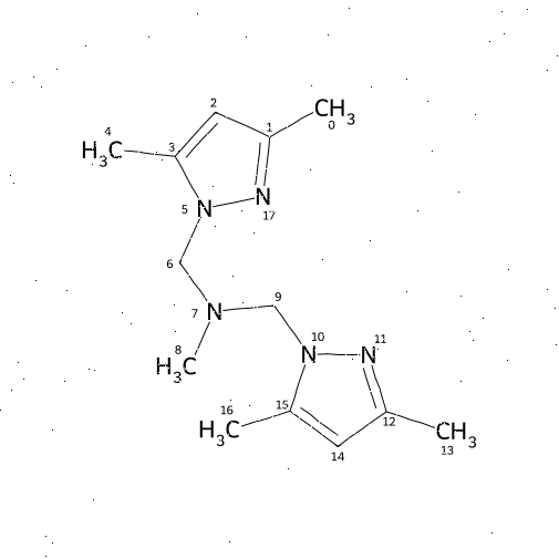 Cc1cc(C)n(CN(C)Cn2nc(C)cc2C)n1